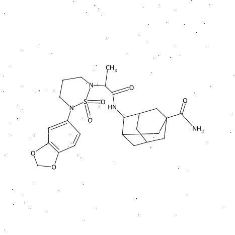 CC(C(=O)NC1C2CC3CC1CC(C(N)=O)(C3)C2)N1CCCN(c2ccc3c(c2)OCO3)S1(=O)=O